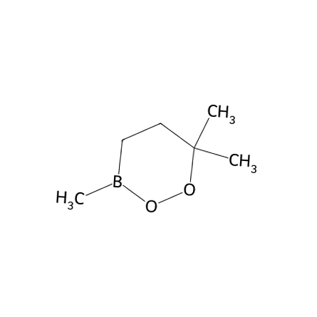 CB1CCC(C)(C)OO1